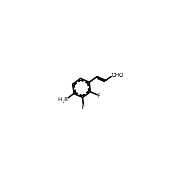 Bc1ccc(/C=C/C=O)c(F)c1F